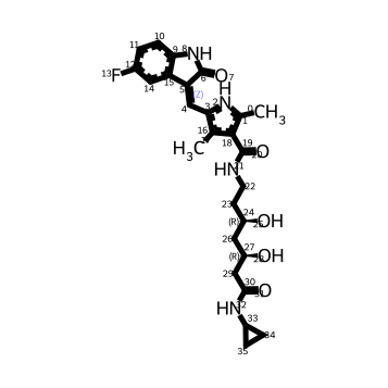 Cc1[nH]c(/C=C2\C(=O)Nc3ccc(F)cc32)c(C)c1C(=O)NCC[C@@H](O)C[C@@H](O)CC(=O)NC1CC1